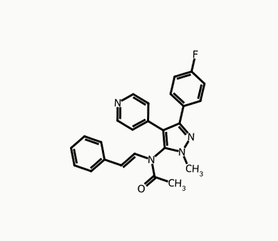 CC(=O)N(C=Cc1ccccc1)c1c(-c2ccncc2)c(-c2ccc(F)cc2)nn1C